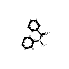 CC(C)N(C(=O)c1ccccc1)c1ccccc1